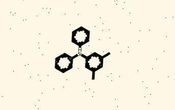 Cc1cc(C)cc([SiH](c2ccccc2)c2ccccc2)c1